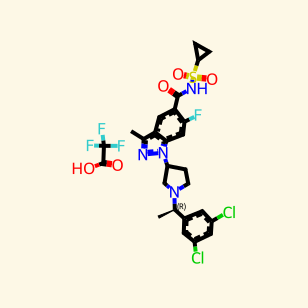 Cc1nn(C2CCN([C@H](C)c3cc(Cl)cc(Cl)c3)C2)c2cc(F)c(C(=O)NS(=O)(=O)C3CC3)cc12.O=C(O)C(F)(F)F